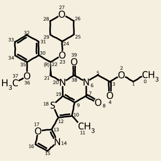 CCOC(=O)Cn1c(=O)c2c(C)c(-c3ncco3)sc2n(C[C@H](OC2CCOCC2)c2ccccc2OC)c1=O